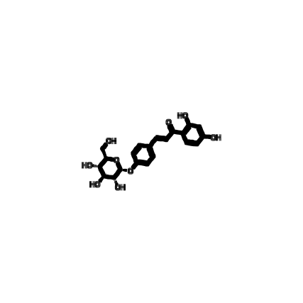 O=C(/C=C/c1ccc(O[C@H]2O[C@H](CO)[C@@H](O)[C@H](O)[C@H]2O)cc1)c1ccc(O)cc1O